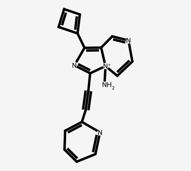 N[N+]12C=CN=CC1=C(C1=CC=C1)N=C2C#Cc1ccccn1